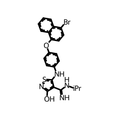 CC(C)NC(=N)c1c(O)nsc1Nc1ccc(Oc2ccc(Br)c3ccccc23)cc1